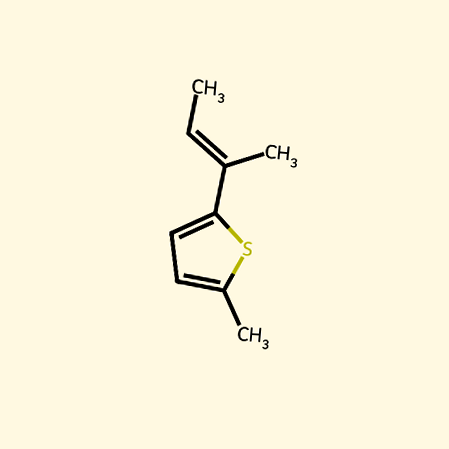 C/C=C(\C)c1ccc(C)s1